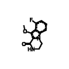 COc1c2n(c3cccc(F)c13)CCNC2=O